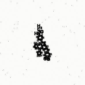 CC(=O)Nc1ccc(-c2cc3cc(CN4CCS(=O)(=O)CC4)cc(N(C4CCCC4)C4CCCC4)c3[nH]2)cc1